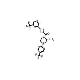 C[C@@H]1CN(c2ncc(C(F)(F)F)cn2)CCN1C(=O)C1CC(c2cncc(C(F)(F)F)c2)C1